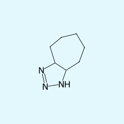 C1CCC2N=NNC2CC1